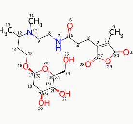 CC1=C(CCC(=O)NCCN(C)C(C)CCO[C@@H]2C[C@H](O)[C@H](O)[C@H](CO)O2)C(=O)OC1=O